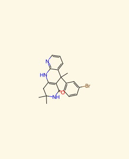 CC1(C)CC2=C(C(=O)N1)C(C)(c1cccc(Br)c1)c1cccnc1N2